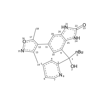 CCCCC(O)(c1ccccn1)c1cc(-c2c(C)noc2C)cc2[nH]c(=O)[nH]c12